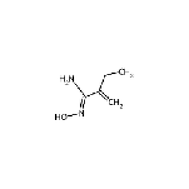 C=C(CC)/C(N)=N/O